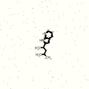 CC(C)CC(C)c1cc2cccnc2[nH]1